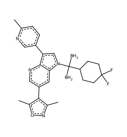 BC(B)(C1CCC(F)(F)CC1)n1cc(-c2ccc(C)nc2)c2ncc(-c3c(C)noc3C)cc21